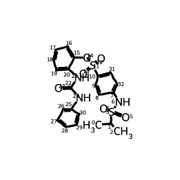 CC(C)S(=O)(=O)Nc1ccc(S(=O)(=O)Oc2ccccc2NC(=O)Nc2ccccc2)cc1